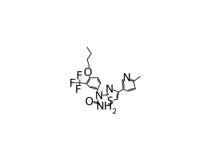 CCCCOc1ccc(N(C(N)=O)c2nc(-c3ccc(C)nc3)cs2)cc1C(F)(F)F